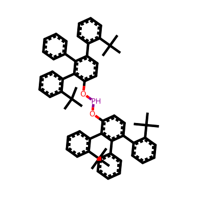 CC(C)(C)c1ccccc1-c1ccc(OPOc2ccc(-c3ccccc3C(C)(C)C)c(-c3ccccc3)c2-c2ccccc2C(C)(C)C)c(-c2ccccc2C(C)(C)C)c1-c1ccccc1